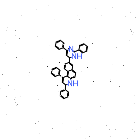 C1=C(c2ccccc2)N=C(c2ccccc2)NC1c1ccc2c3c(ccc2c1)NC(c1ccccc1)C=C3c1ccccc1